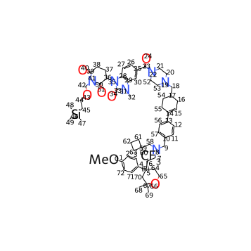 COc1ccc([C@]2(CCN(Cc3ccc(C4=CCC(CN5CCN(C(=O)c6ccc7c(c6)n(C)c(=O)n7C6CCC(=O)N(COCC[Si](C)(C)C)C6=O)CC5)CC4)cc3)CC3(C(F)(F)F)CCC3)CCOC(C)(C)C2)cc1